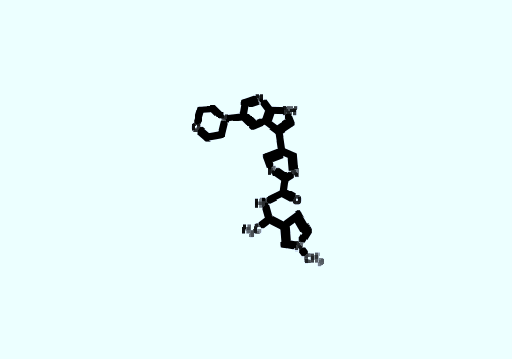 CC(NC(=O)c1ncc(-c2c[nH]c3ncc(N4CCOCC4)cc23)cn1)c1ccn(C)c1